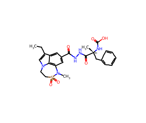 CCc1cn2c3c(cc(C(=O)NNC(=O)[C@@](C)(Cc4ccccc4)NC(=O)O)cc13)N(C)S(=O)(=O)CC2